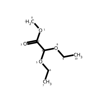 [CH2]OC(=O)C(OCC)OCC